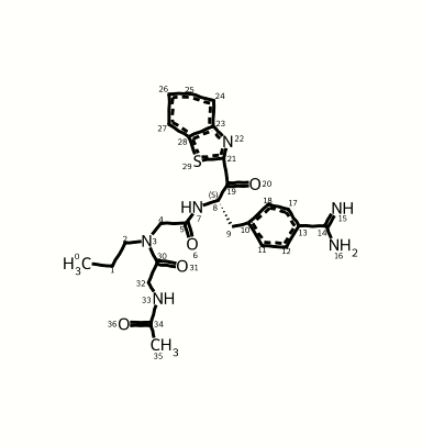 CCCN(CC(=O)N[C@@H](Cc1ccc(C(=N)N)cc1)C(=O)c1nc2ccccc2s1)C(=O)CNC(C)=O